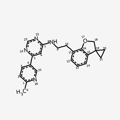 Cc1ccc(-c2cc(NCCc3cccc4c3OCC43CC3)ncn2)cn1